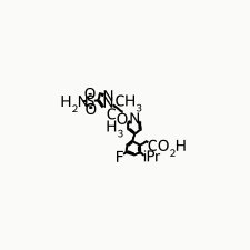 CC(C)c1cc(F)cc(-c2ccnc(OCC(C)(C)n3cc(S(N)(=O)=O)cn3)c2)c1CC(=O)O